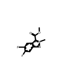 COC(=O)c1c2cc(F)c(F)cc2nn1C